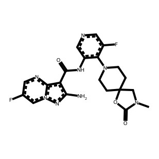 CN1CC2(CCN(c3c(F)cncc3NC(=O)c3c(N)nn4cc(F)cnc34)CC2)OC1=O